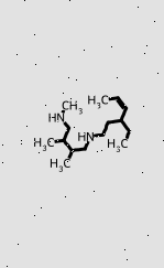 C/C=C\C(CC)CCNCC(C)C(C)CNC